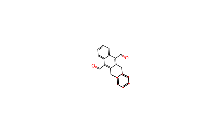 O=Cc1c2c(c(C=O)c3ccccc13)C1c3ccccc3C2c2ccccc21